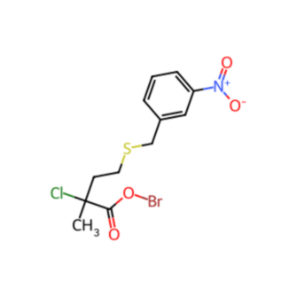 CC(Cl)(CCSCc1cccc([N+](=O)[O-])c1)C(=O)OBr